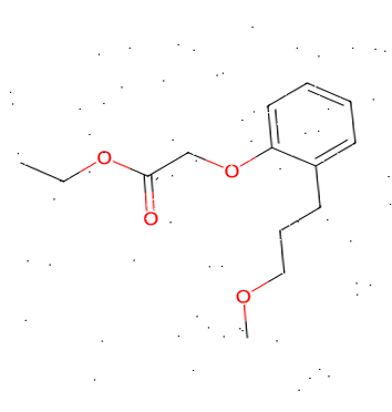 CCOC(=O)COc1ccccc1CCCOC